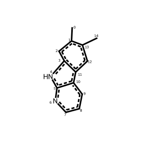 Cc1cc2[nH]c3ncccc3c2cc1C